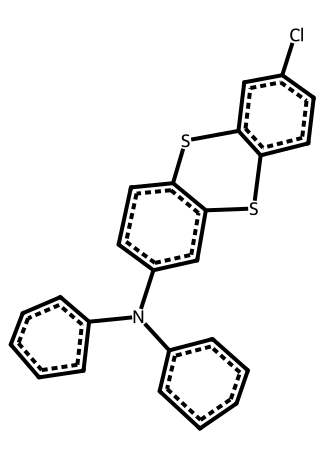 Clc1ccc2c(c1)Sc1ccc(N(c3ccccc3)c3ccccc3)cc1S2